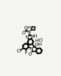 Cl.O=C(O)N(c1nc2ccc(C3(O)c4ccccc4C(=O)N3c3cccc(Cl)c3F)cc2[nH]1)C1CCC1